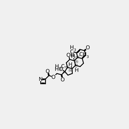 CC1=CC(=O)C=C2CC[C@@H]3[C@H](C(O)C[C@@]4(C)[C@H]3CC[C@]4(O)C(=O)COC(=O)C3=NC=C3)[C@@]12C